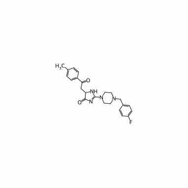 Cc1ccc(C(=O)CC2NC(N3CCN(Cc4ccc(F)cc4)CC3)=NC2=O)cc1